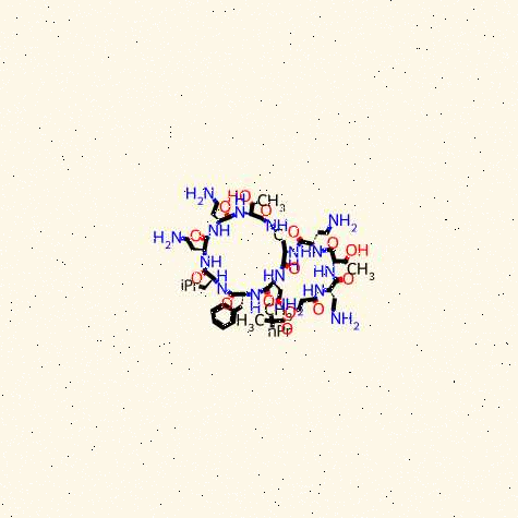 CCCC(C)(C)C(=O)OCCC(=O)N[C@@H](CCN)C(=O)N[C@H](C(=O)N[C@@H](CCN)C(=O)N[C@H]1CCNC(=O)[C@H]([C@H](C)O)NC(=O)[C@H](CCN)NC(=O)[C@H](CCN)NC(=O)[C@H](CC(C)C)NC(=O)[C@@H](Cc2ccccc2)NC(=O)[C@H](CCN)NC1=O)C(C)O